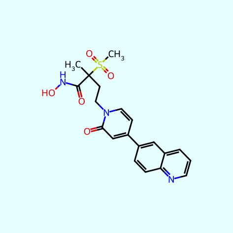 CC(CCn1ccc(-c2ccc3ncccc3c2)cc1=O)(C(=O)NO)S(C)(=O)=O